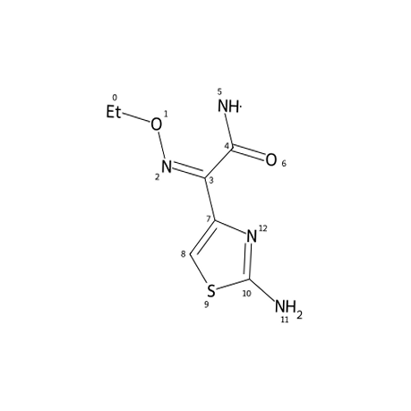 CCON=C(C([NH])=O)c1csc(N)n1